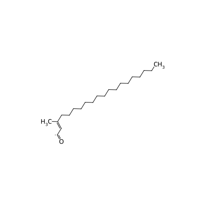 CCCCCCCCCCCCCCCCCC(C)=C[C]=O